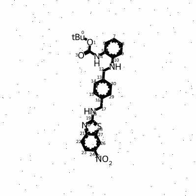 CC(C)(C)OC(=O)Nc1ccccc1NCc1ccc(CNc2nc3ccc([N+](=O)[O-])cc3s2)cc1